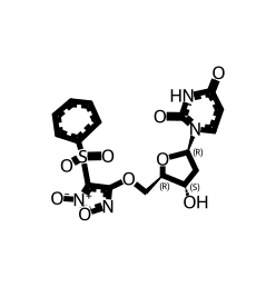 O=c1ccn([C@H]2C[C@H](O)[C@@H](COc3no[n+]([O-])c3S(=O)(=O)c3ccccc3)O2)c(=O)[nH]1